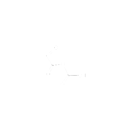 O=CC(=O)OC(=O)O